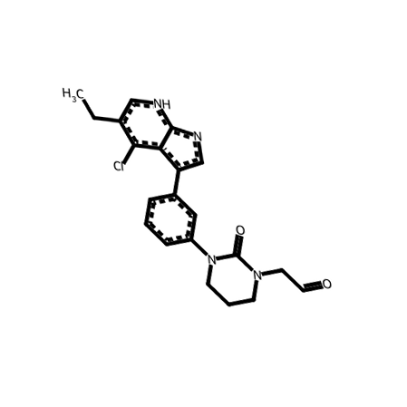 CCc1c[nH]c2ncc(-c3cccc(N4CCCN(CC=O)C4=O)c3)c-2c1Cl